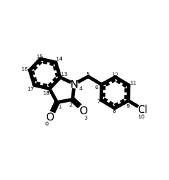 O=C1C(=O)N(Cc2ccc(Cl)cc2)c2ccccc21